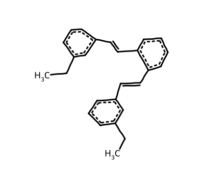 CCc1cccc(C=Cc2ccccc2C=Cc2cccc(CC)c2)c1